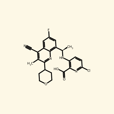 Cc1c(C2CCOCC2)nc2c([C@@H](C)Nc3ccc(Cl)nc3C(=O)O)cc(F)cc2c1C#N